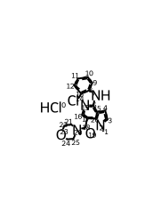 Cl.Cn1ccc2c(Nc3ccccc3Cl)ncc(C(=O)N3CCOCC3)c21